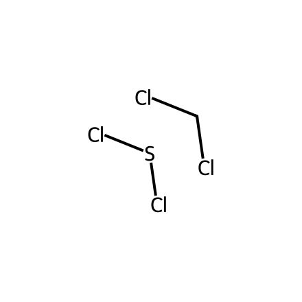 ClCCl.ClSCl